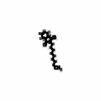 CCC[CH]CCCCCN1C(=O)c2ccccc2C1=O